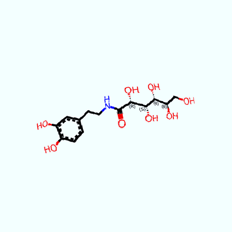 O=C(NCCc1ccc(O)c(O)c1)[C@H](O)[C@@H](O)[C@H](O)[C@H](O)CO